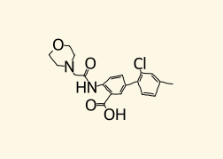 Cc1ccc(-c2ccc(NC(=O)CN3CCOCC3)c(C(=O)O)c2)c(Cl)c1